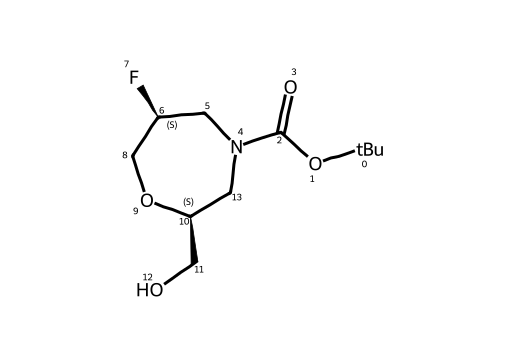 CC(C)(C)OC(=O)N1C[C@H](F)CO[C@H](CO)C1